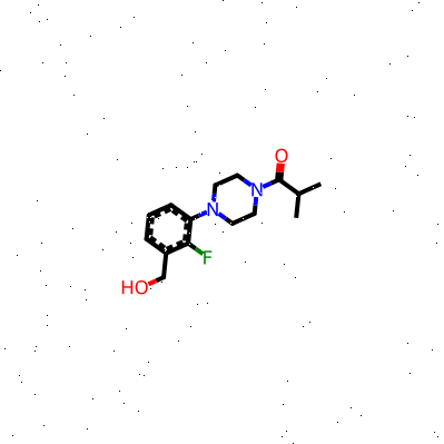 CC(C)C(=O)N1CCN(c2cccc(CO)c2F)CC1